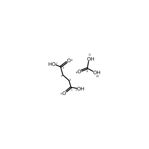 O=C(O)CCC(=O)O.O=C(O)O